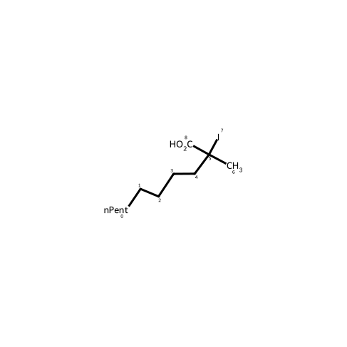 CCCCCCCCCC(C)(I)C(=O)O